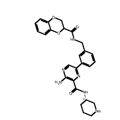 Nc1ncc(-c2cccc(CNC(=O)C3COc4ccccc4O3)c2)nc1C(=O)N[C@H]1CCCNC1